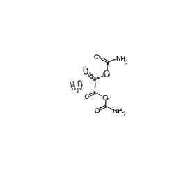 NC(=O)OC(=O)C(=O)OC(N)=O.O